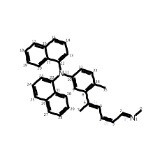 C/N=C/C=C\C=C(/C)c1cc(N(c2cccc3ccccc23)c2cccc3ccccc23)ccc1C